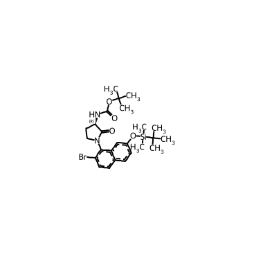 CC(C)(C)OC(=O)N[C@@H]1CCN(c2c(Br)ccc3ccc(O[Si](C)(C)C(C)(C)C)cc23)C1=O